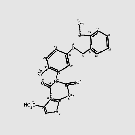 O=C(O)c1csc2[nH]c(=O)n(-c3cc(OCc4ccccc4CO)ccc3Cl)c(=O)c12